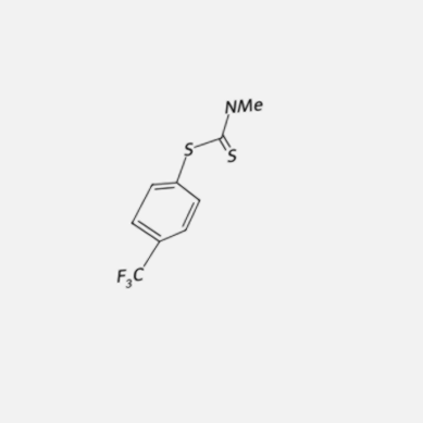 CNC(=S)Sc1ccc(C(F)(F)F)cc1